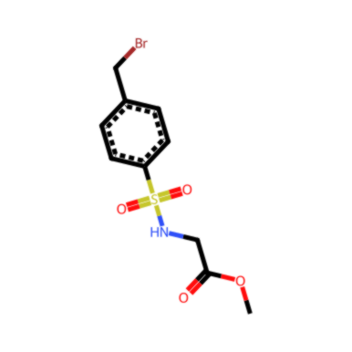 COC(=O)CNS(=O)(=O)c1ccc(CBr)cc1